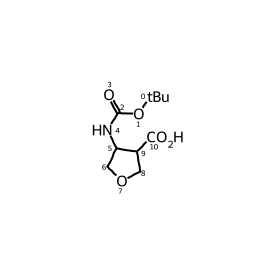 CC(C)(C)OC(=O)NC1COCC1C(=O)O